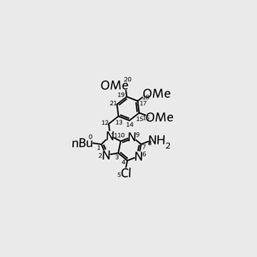 CCCCc1nc2c(Cl)nc(N)nc2n1Cc1cc(OC)c(OC)c(OC)c1